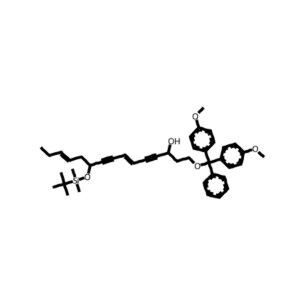 CCC=CCC(C#CC=CC#CC(O)CCOC(c1ccccc1)(c1ccc(OC)cc1)c1ccc(OC)cc1)O[Si](C)(C)C(C)(C)C